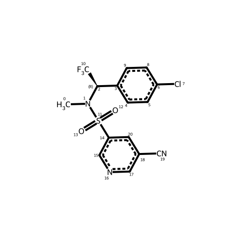 CN([C@H](c1ccc(Cl)cc1)C(F)(F)F)S(=O)(=O)c1cncc(C#N)c1